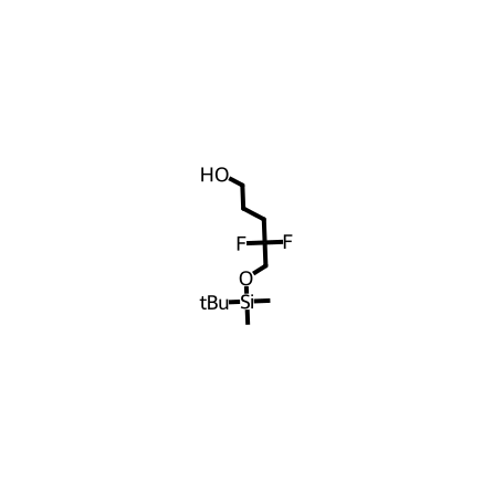 CC(C)(C)[Si](C)(C)OCC(F)(F)CCCO